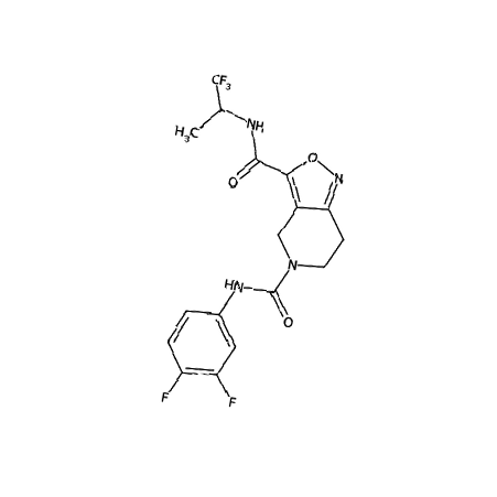 CC(NC(=O)c1onc2c1CN(C(=O)Nc1ccc(F)c(F)c1)CC2)C(F)(F)F